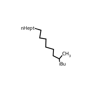 [CH2]CC(C)C(C)CCCCCCCCCCCCC